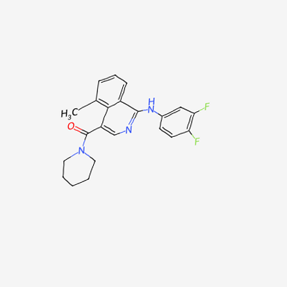 Cc1cccc2c(Nc3ccc(F)c(F)c3)ncc(C(=O)N3CCCCC3)c12